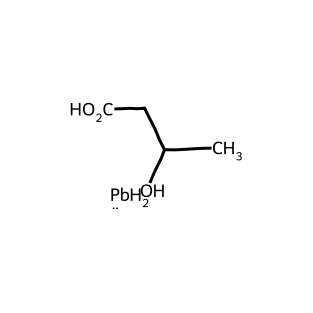 CC(O)CC(=O)O.[PbH2]